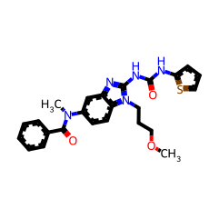 COCCCn1c(NC(=O)Nc2cccs2)nc2cc(N(C)C(=O)c3ccccc3)ccc21